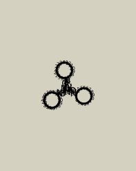 C1CCCCCCCC(=NOc2nc(ON=C3CCCCCCCCCCCCCCC3)nc(ON=C3CCCCCCCCCCCCCCC3)n2)CCCCCCC1